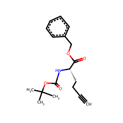 C#CCC[C@H](NC(=O)OC(C)(C)C)C(=O)OCc1ccccc1